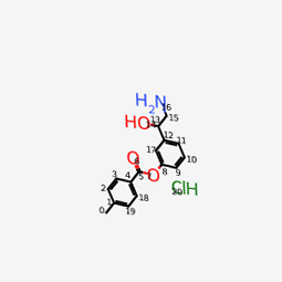 Cc1ccc(C(=O)Oc2cccc(C(O)CN)c2)cc1.Cl